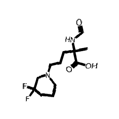 CC(CCCN1CCCC(F)(F)C1)(NC=O)C(=O)O